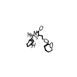 O=C1N=C(N[C@H]2C[C@@H]3CCC2C3)SC1CCOC1CCCCO1